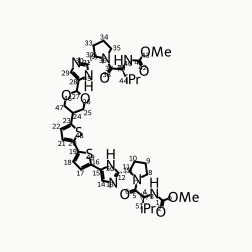 COC(=O)N[C@H](C(=O)N1CCC[C@H]1c1ncc(-c2ccc(-c3ccc(C4COC(c5cnc([C@@H]6CCCN6C(=O)[C@@H](NC(=O)OC)C(C)C)[nH]5)OC4)s3)s2)[nH]1)C(C)C